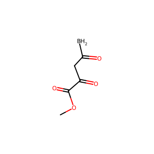 BC(=O)CC(=O)C(=O)OC